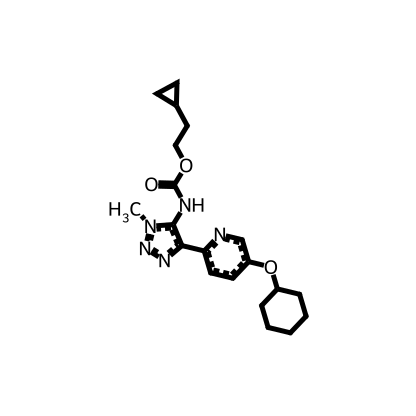 Cn1nnc(-c2ccc(OC3CCCCC3)cn2)c1NC(=O)OCCC1CC1